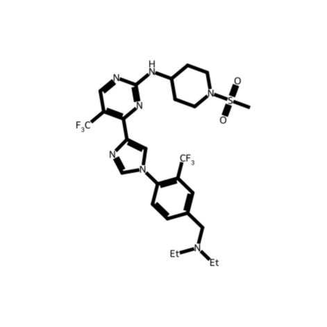 CCN(CC)Cc1ccc(-n2cnc(-c3nc(NC4CCN(S(C)(=O)=O)CC4)ncc3C(F)(F)F)c2)c(C(F)(F)F)c1